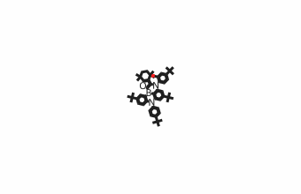 Cc1cc(C(C)(C)C)ccc1N1c2cc(C(C)(C)C)cc3c2B(c2cc(C(C)(C)C)ccc2N3c2ccc(C(C)(C)C)cc2)c2oc3c(c21)C(C)(C)CCC3(C)C